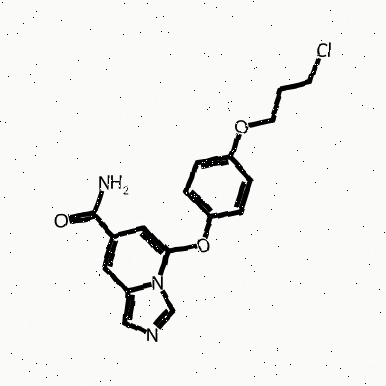 NC(=O)c1cc(Oc2ccc(OCCCCl)cc2)n2cncc2c1